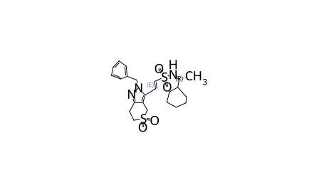 C[C@@H](NS(=O)(=O)/C=C/c1c2c(nn1Cc1ccccc1)CCS(=O)(=O)C2)C1CCCCC1